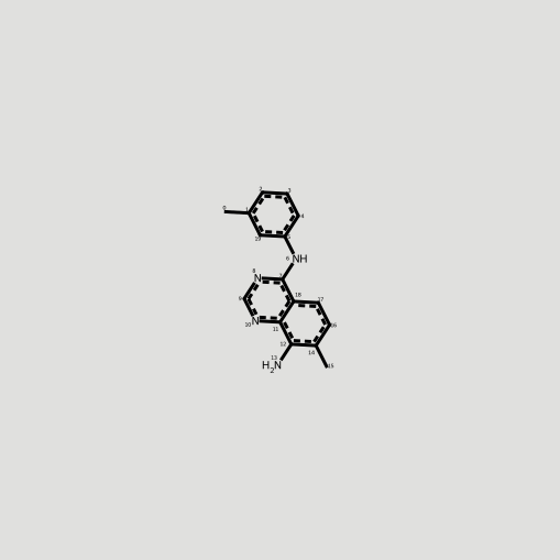 Cc1cccc(Nc2ncnc3c(N)c(C)ccc23)c1